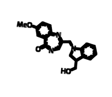 COc1ccc2nc(CN3CC(CO)c4ccccc43)cnc(=O)c2c1